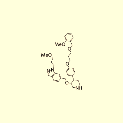 COCCCn1ncc2ccc(COC3CNCCC3c3ccc(OCCCOCc4ccccc4OC)cc3)cc21